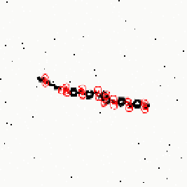 C=CC(=O)OCCCCCOC(=O)Oc1ccc(C(=O)Oc2ccc(C(=O)O[C@H]3COC4C3OC[C@@H]4OC(=O)c3ccc(OC(=O)c4ccc(OC(C)=O)cc4)cc3)cc2)cc1